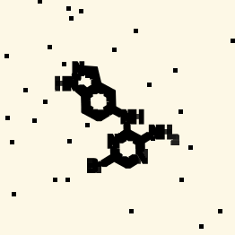 Nc1ncc(Br)nc1Nc1ccc2[nH]ncc2c1